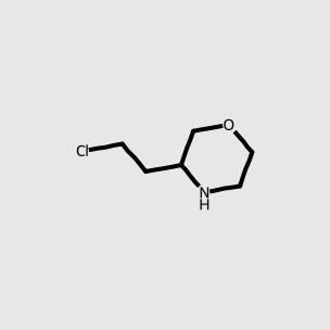 ClCCC1COCCN1